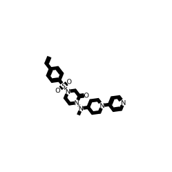 C=Cc1ccc(S(=O)(=O)N2CCN(N(C)C3CCN(c4ccncc4)CC3)C(=O)C2)cc1